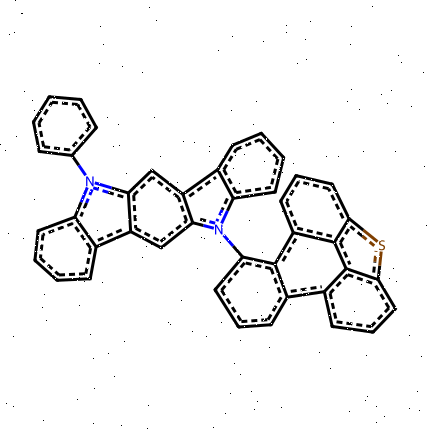 c1ccc(-n2c3ccccc3c3cc4c(cc32)c2ccccc2n4-c2cccc3c4cccc5sc6cccc(c23)c6c54)cc1